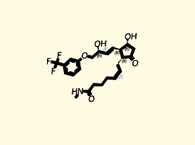 CNC(=O)CCC/C=C\C[C@H]1C(=O)C[C@@H](O)[C@@H]1/C=C/[C@@H](O)COc1cccc(C(F)(F)F)c1